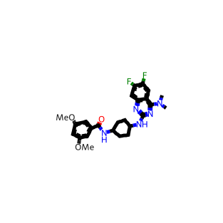 COc1cc(OC)cc(C(=O)NC2CCC(Nc3nc(N(C)C)c4cc(F)c(F)cc4n3)CC2)c1